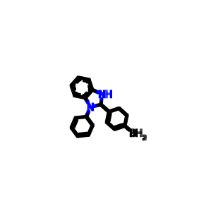 BC1=CC=C(C2Nc3ccccc3N2C2C=CC=CC2)CC1